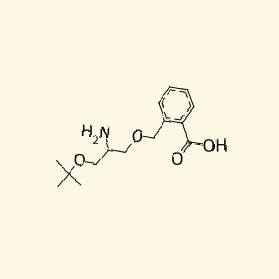 CC(C)(C)OCC(N)COCc1ccccc1C(=O)O